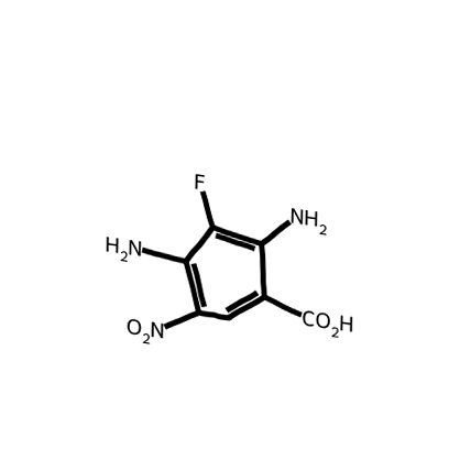 Nc1c(C(=O)O)cc([N+](=O)[O-])c(N)c1F